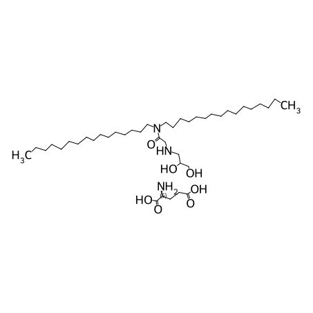 CCCCCCCCCCCCCCCCN(CCCCCCCCCCCCCCCC)C(=O)CNCC(O)CO.N[C@@H](CCC(=O)O)C(=O)O